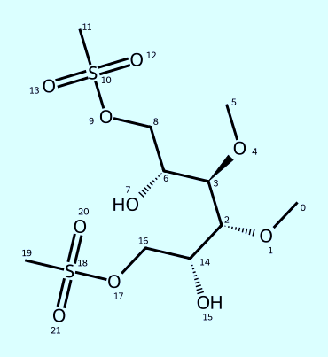 CO[C@@H]([C@H](OC)[C@H](O)COS(C)(=O)=O)[C@H](O)COS(C)(=O)=O